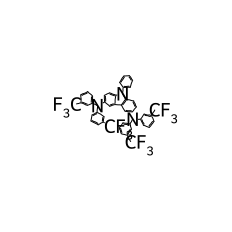 FC(F)(F)c1cccc(N(c2cccc(C(F)(F)F)c2)c2ccc3c(c2)c2cc(N(c4cccc(C(F)(F)F)c4)c4cccc(C(F)(F)F)c4)ccc2n3-c2ccccc2)c1